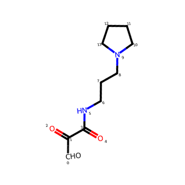 O=CC(=O)C(=O)NCCCN1CCCC1